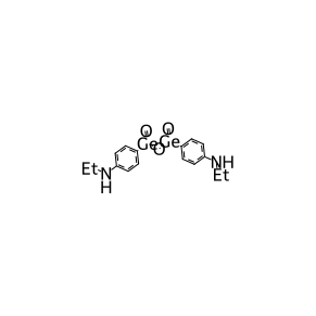 CCNc1cc[c]([Ge](=[O])[O][Ge](=[O])[c]2ccc(NCC)cc2)cc1